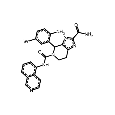 CC(C)c1ccc(N)c(C2c3sc(C(N)=O)nc3CCN2C(=O)Nc2cccc3cnccc23)c1